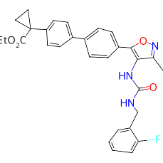 CCOC(=O)C1(c2ccc(-c3ccc(-c4onc(C)c4NC(=O)NCc4ccccc4F)cc3)cc2)CC1